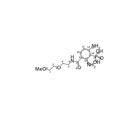 COCCOCCNC(=O)c1ccc(N)c(P(=O)(O)O)c1N